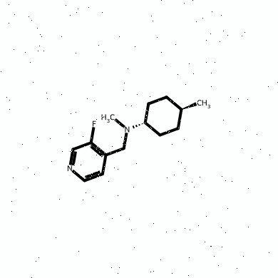 CN(Cc1ccncc1F)[C@H]1CC[C@H](C)CC1